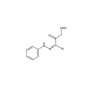 COCC(=O)C(=NNc1ccccc1)C(C)=O